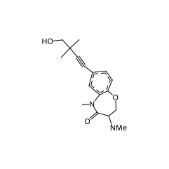 CNC1COc2ccc(C#CC(C)(C)CO)cc2N(C)C1=O